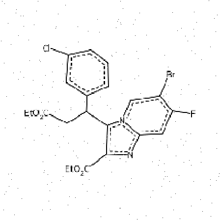 CCOC(=O)CC(c1cccc(Cl)c1)c1c(C(=O)OCC)nc2cc(F)c(Br)cn12